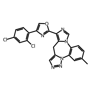 Cc1ccc2c(c1)-n1nncc1Cc1c(-c3nc(-c4ccc(Cl)cc4Cl)co3)ncn1-2